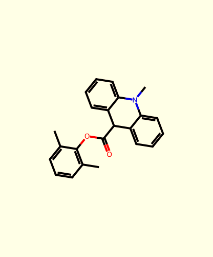 Cc1cccc(C)c1OC(=O)C1c2ccccc2N(C)c2ccccc21